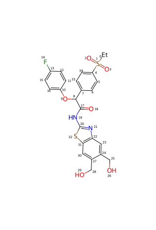 CCS(=O)(=O)c1ccc(C(Oc2ccc(F)cc2)C(=O)Nc2nc3cc(CO)c(CO)cc3s2)cc1